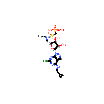 CN(C[C@H]1O[C@@H](n2ncc3c(NCC4CC4)nc(Cl)nc32)[C@H](O)[C@@H]1O)S(=O)(=O)CP(=O)(O)O